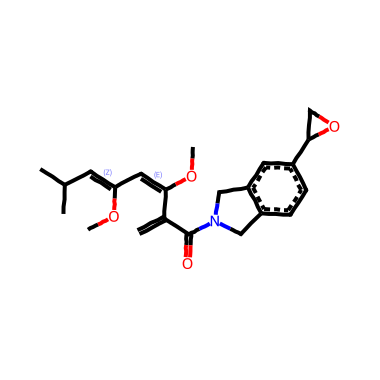 C=C(C(=O)N1Cc2ccc(C3CO3)cc2C1)/C(=C\C(=C\C(C)C)OC)OC